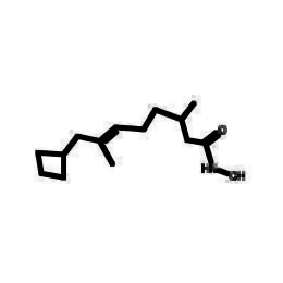 C/C(=C\CCC(C)CC(=O)NO)CC1CCC1